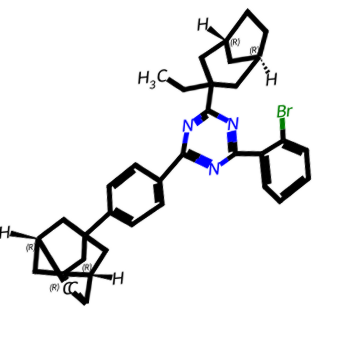 CCC1(c2nc(-c3ccc(C45C[C@@H]6CC7C[C@](C6)(C4)[C@@H]7C5)cc3)nc(-c3ccccc3Br)n2)C[C@@H]2CC[C@H](C2)C1